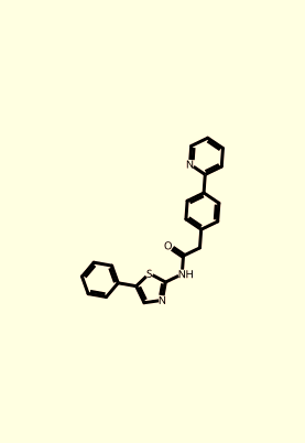 O=C(Cc1ccc(-c2ccccn2)cc1)Nc1ncc(-c2ccccc2)s1